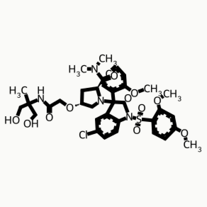 COc1ccc(S(=O)(=O)N2C(=O)C(c3ccccc3OC)(N3C[C@H](OCC(=O)NC(C)(CO)CO)C[C@H]3C(=O)N(C)C)c3cc(Cl)ccc32)c(OC)c1